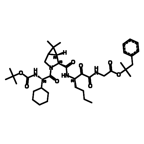 CCCC[C@@H](NC(=O)[C@@H]1[C@@H]2C(CN1C(=O)[C@@H](NC(=O)OC(C)(C)C)C1CCCCC1)C2(C)C)C(=O)C(=O)NCC(=O)OC(C)(C)Cc1ccccc1